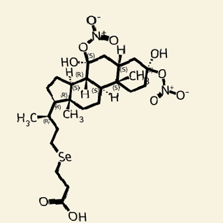 C[C@H](CC[Se]CCC(=O)O)[C@H]1CC[C@H]2[C@H]3[C@H](CC[C@]12C)[C@@]1(C)CC[C@](O)(O[N+](=O)[O-])C[C@H]1C[C@]3(O)O[N+](=O)[O-]